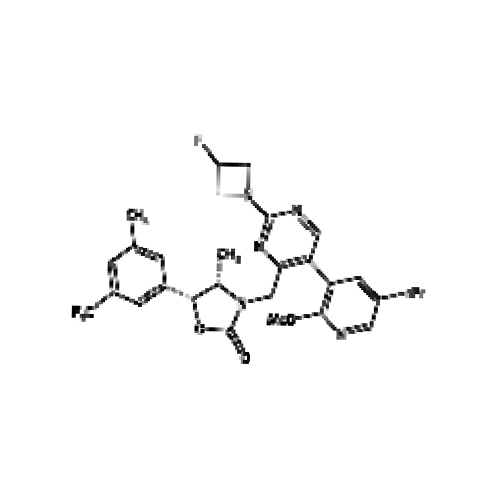 CCCc1cnc(OC)c(-c2cnc(N3CC(F)C3)nc2CN2C(=O)O[C@H](c3cc(C)cc(C(F)(F)F)c3)[C@@H]2C)c1